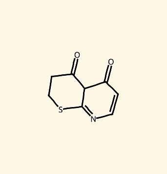 O=C1C=CN=C2SCCC(=O)C12